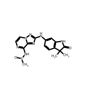 C[S+]([O-])Nc1nccn2nc(Nc3ccc4c(c3)NC(=O)C4(C)C)nc12